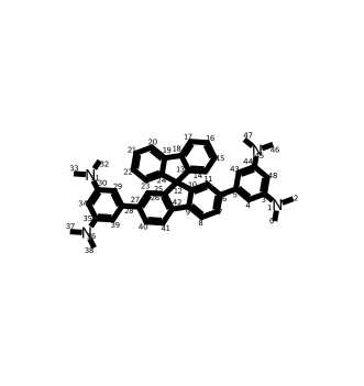 CN(C)c1cc(-c2ccc3c(c2)C2(c4ccccc4-c4ccccc42)c2cc(-c4cc(N(C)C)cc(N(C)C)c4)ccc2-3)cc(N(C)C)c1